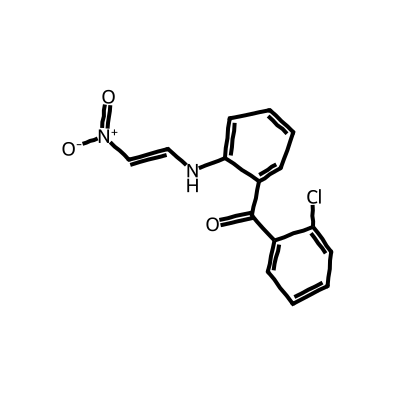 O=C(c1ccccc1Cl)c1ccccc1NC=C[N+](=O)[O-]